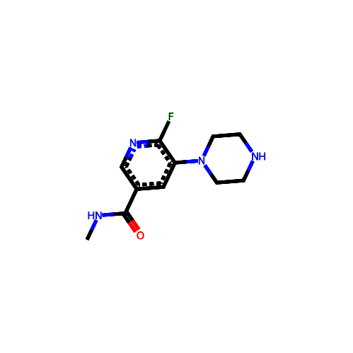 CNC(=O)c1cnc(F)c(N2CCNCC2)c1